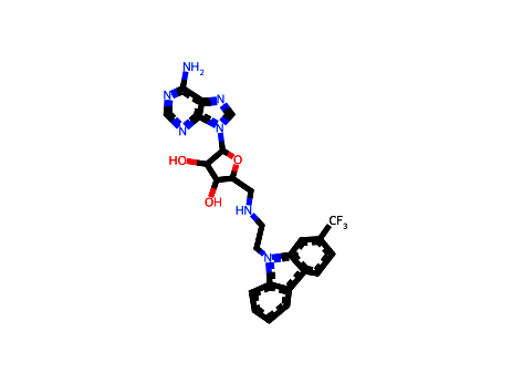 Nc1ncnc2c1ncn2C1OC(CNCCn2c3ccccc3c3ccc(C(F)(F)F)cc32)C(O)C1O